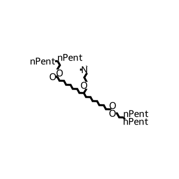 CCCCCC(CCCCC)CCOC(=O)CCCCCCCC(CCCCCCCC(=O)OCCC(CCCCC)CCCCC)COCCCN(C)C